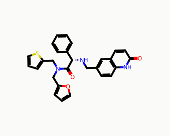 O=C([C@@H](NCc1ccc2[nH]c(=O)ccc2c1)c1ccccc1)N(Cc1ccco1)Cc1cccs1